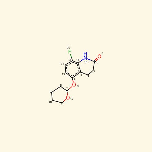 O=C1CCc2c(OC3CCCCO3)ccc(F)c2N1